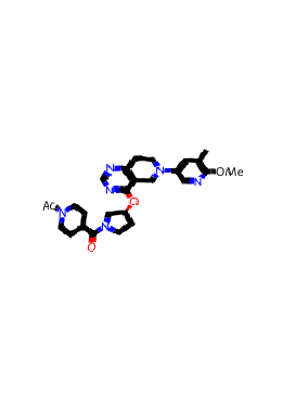 COc1ncc(N2CCc3ncnc(O[C@H]4CCN(C(=O)C5CCN(C(C)=O)CC5)C4)c3C2)cc1C